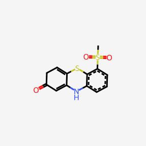 CS(=O)(=O)c1cccc2c1SC1=CCC(=O)C=C1N2